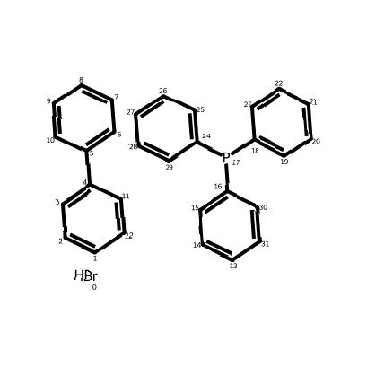 Br.c1ccc(-c2ccccc2)cc1.c1ccc(P(c2ccccc2)c2ccccc2)cc1